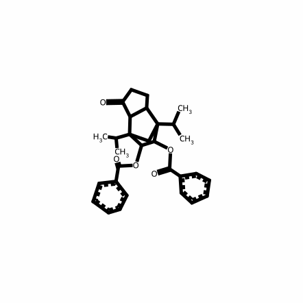 CC(C)C12CC(C(C)C)(C(OC(=O)c3ccccc3)C1OC(=O)c1ccccc1)C1C(=O)CCC12